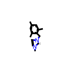 Cc1cc(C)c(CN2[C]N(C)C=C2)c(C)c1